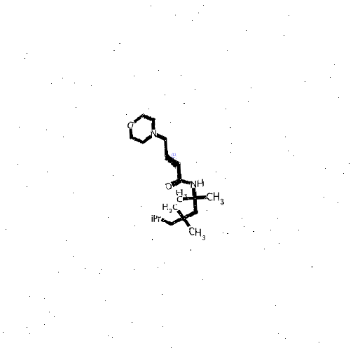 CC(C)CC(C)(C)CC(C)(C)NC(=O)/C=C/CN1CCOCC1